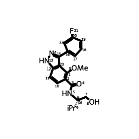 COc1c(C(=O)N[C@H](CO)C(C)C)ccc2[nH]nc(-c3cccc(F)c3)c12